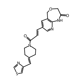 O=C1COCc2cc(/C=C/C(=O)N3CCC(=Cc4cscn4)CC3)cnc2N1